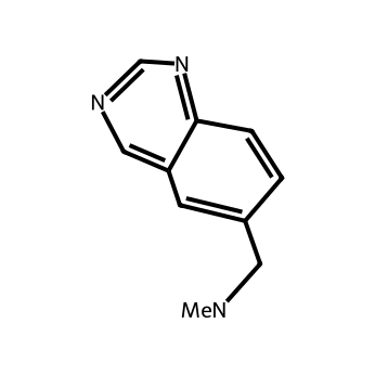 CNCc1ccc2ncncc2c1